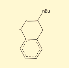 CCCCC1=C[CH]c2ccccc2C1